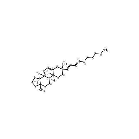 C[C@@]12CCC[C@H]1[C@@H]1CC=C3C[C@](O)(/C=C/C=N/OCCCCN)CC[C@]3(C)[C@H]1CC2